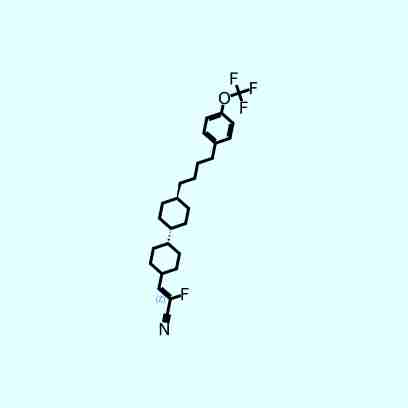 N#C/C(F)=C/C1CCC([C@H]2CC[C@H](CCCCc3ccc(OC(F)(F)F)cc3)CC2)CC1